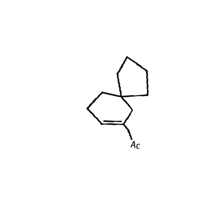 CC(=O)C1=CCCC2(CCCC2)C1